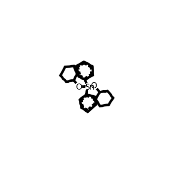 c1cc[c]([Sn]([O]C2CCCCC2)([O]C2CCCCC2)[c]2ccccc2)cc1